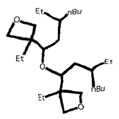 CCCCC(CC)CC(OC(CC(CC)CCCC)C1(CC)COC1)C1(CC)COC1